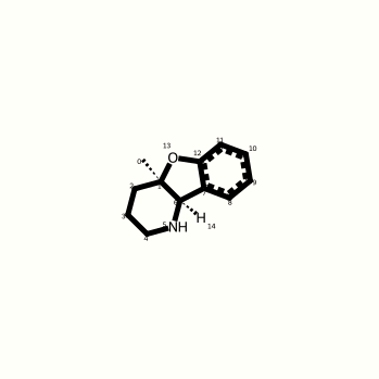 C[C@@]12CCCN[C@@H]1c1ccccc1O2